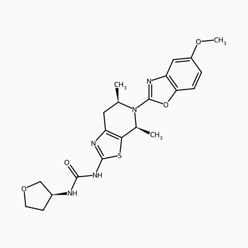 COc1ccc2oc(N3[C@H](C)Cc4nc(NC(=O)N[C@H]5CCOC5)sc4[C@@H]3C)nc2c1